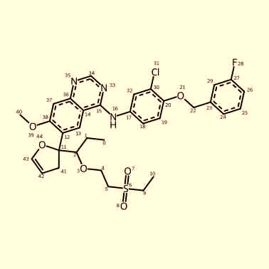 CCC(OCCS(=O)(=O)CC)C1(c2cc3c(Nc4ccc(OCc5cccc(F)c5)c(Cl)c4)ncnc3cc2OC)CC=CO1